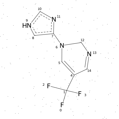 FC(F)(F)C1=CN(c2c[nH]cn2)CN=C1